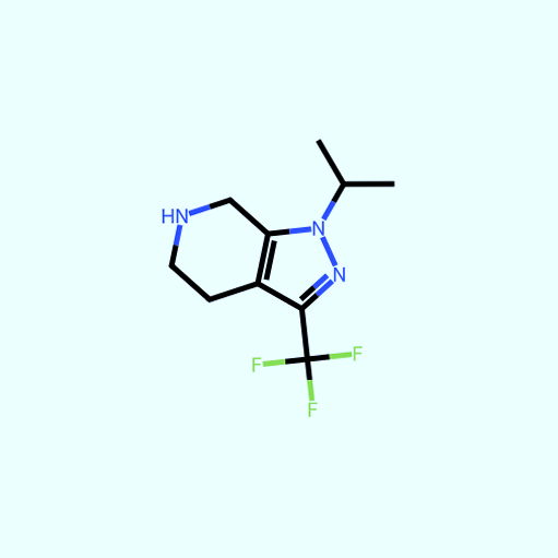 CC(C)n1nc(C(F)(F)F)c2c1CNCC2